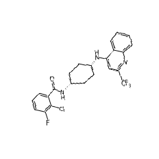 O=C(N[C@H]1CC[C@@H](Nc2cc(C(F)(F)F)nc3ccccc23)CC1)c1cccc(F)c1Cl